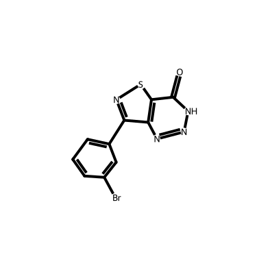 O=c1[nH]nnc2c(-c3cccc(Br)c3)nsc12